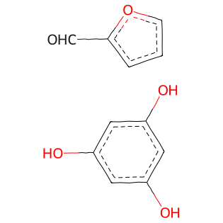 O=Cc1ccco1.Oc1cc(O)cc(O)c1